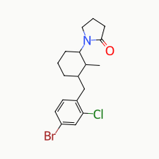 CC1C(Cc2ccc(Br)cc2Cl)CCCC1N1CCCC1=O